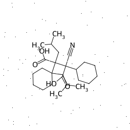 CC(C)CC1(C(CC(C)C)(C(=O)O)C(C#N)(C(=O)O)C2CCCCC2)CCCCC1